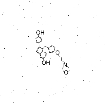 Oc1ccc(-c2ccc3cc(O)ccc3c2Cc2ccc(OCCCCN3CCOCC3)cc2)cc1